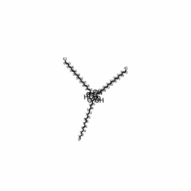 CCCCCC=CCC=CCCCCCCCC(=O)C(O)C(O)(C(=O)CCCCCCCC=CCC=CCCCCC)C(O)C(=O)CCCCCCCC=CCC=CCCCCC